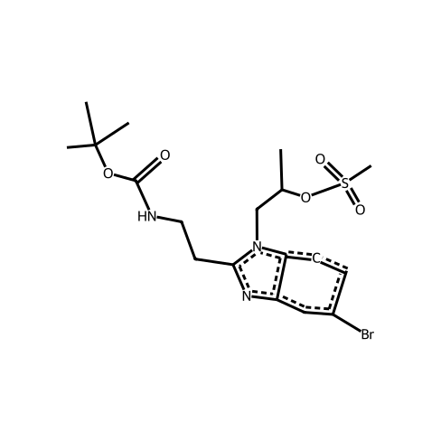 CC(Cn1c(CCNC(=O)OC(C)(C)C)nc2cc(Br)ccc21)OS(C)(=O)=O